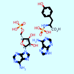 Nc1ncnc2[nH]cnc12.Nc1ncnc2c1ncn2[C@@H]1O[C@H](COP(=O)(O)O)[C@@H](O)[C@H]1O.O=C(O)C(Cc1ccc(O)cc1)NP(=O)(O)O